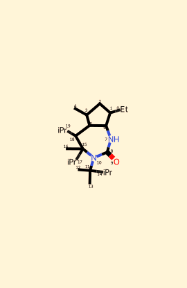 CCC1CC(C)C2C1NC(=O)N(C(C)(C)C(C)C)C(C)(C(C)C)C2C(C)C